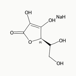 O=C1O[C@H](C(O)CO)C(O)=C1O.[NaH]